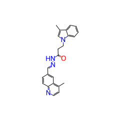 Cc1ccnc2ccc(C=NNC(=O)CCn3cc(C)c4ccccc43)cc12